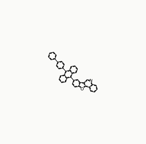 c1ccc(-c2ccc(-c3c4ccccc4c(-c4ccc5oc6c7ccccc7ncc6c5c4)c4ccccc34)cc2)cc1